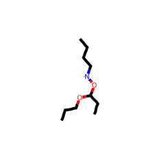 CCCC[N]OC(CC)OCCC